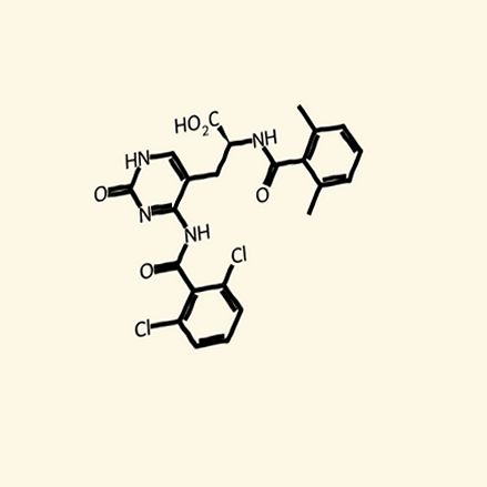 Cc1cccc(C)c1C(=O)N[C@@H](Cc1c[nH]c(=O)nc1NC(=O)c1c(Cl)cccc1Cl)C(=O)O